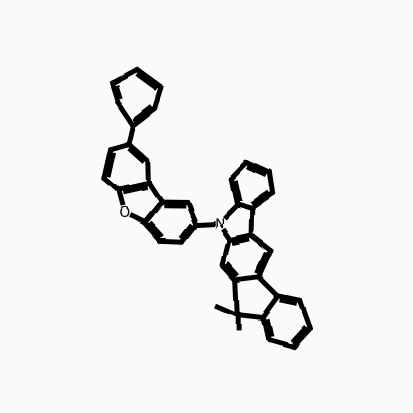 CC1(C)c2ccccc2-c2cc3c4ccccc4n(-c4ccc5oc6ccc(-c7ccccc7)cc6c5c4)c3cc21